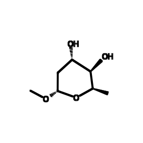 CO[C@@H]1C[C@H](O)[C@@H](O)[C@@H](C)O1